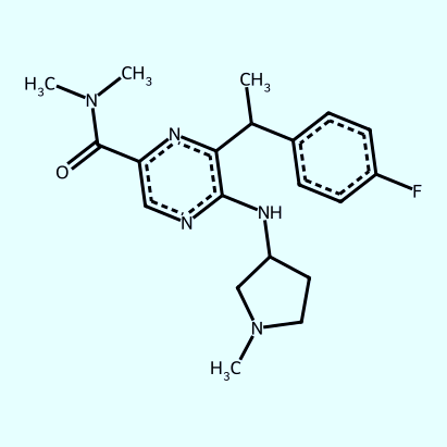 CC(c1ccc(F)cc1)c1nc(C(=O)N(C)C)cnc1NC1CCN(C)C1